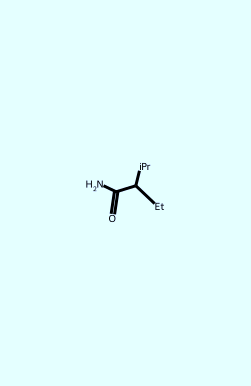 [CH2]CC(C(N)=O)C(C)C